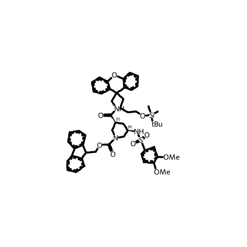 COc1ccc(S(=O)(=O)N[C@@H]2C[C@H](C(=O)NCC3(CCCCO[Si](C)(C)C(C)(C)C)c4ccccc4Oc4ccccc43)CN(C(=O)OCC3c4ccccc4-c4ccccc43)C2)cc1OC